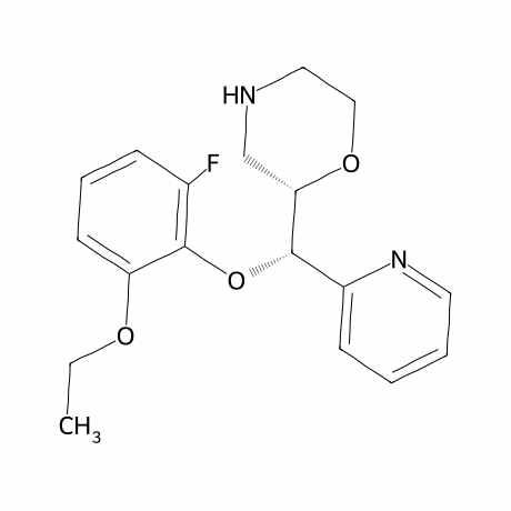 CCOc1cccc(F)c1O[C@@H](c1ccccn1)[C@@H]1CNCCO1